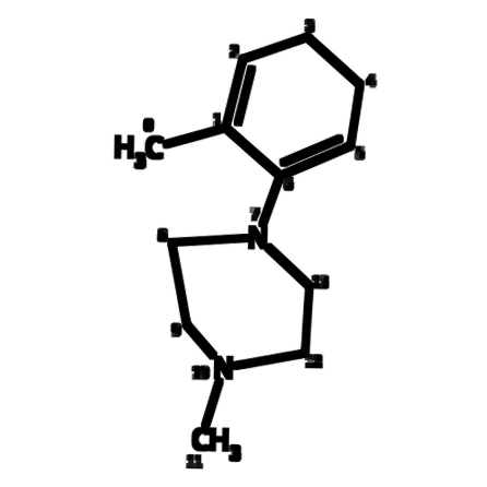 CC1=CCCC=C1N1CCN(C)CC1